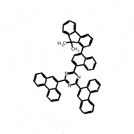 CC1(C)c2ccccc2-c2cccc(-c3ccc(-c4nc(-c5cc6ccccc6c6ccccc56)nc(-c5cc6ccccc6c6ccccc56)n4)c4ccccc34)c21